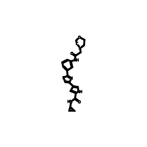 O=C(CN1CCOCC1)Nc1cccc(-c2nc(-c3c[nH]c(C(=O)NC4CC4)c3)cs2)c1